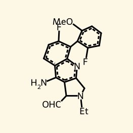 CCN1Cc2nc3c(-c4c(F)cccc4OC)c(F)ccc3c(N)c2C1C=O